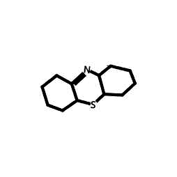 [CH]1CCCC2SC3CCCCC3=NC12